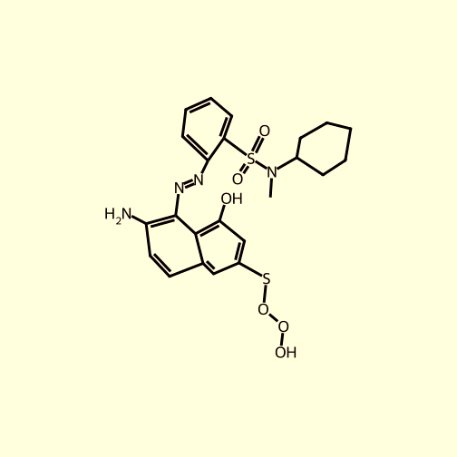 CN(C1CCCCC1)S(=O)(=O)c1ccccc1N=Nc1c(N)ccc2cc(SOOO)cc(O)c12